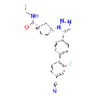 CCNC(=O)[C@H]1CC[C@@H](n2nncc2-c2ccc(-c3ccc(C#N)cc3F)cc2)C1